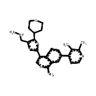 CNCc1nc(-c2cnc(N)c3cc(-c4ccnc(C)c4C)ccc23)sc1C1CCOCC1